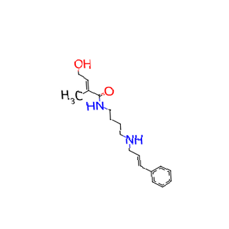 C/C(=C\CO)C(=O)NCCCCNCC=Cc1ccccc1